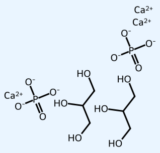 O=P([O-])([O-])[O-].O=P([O-])([O-])[O-].OCC(O)CO.OCC(O)CO.[Ca+2].[Ca+2].[Ca+2]